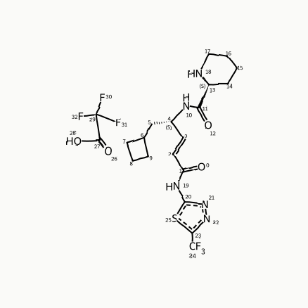 O=C(C=C[C@H](CC1CCC1)NC(=O)[C@@H]1CCCCN1)Nc1nnc(C(F)(F)F)s1.O=C(O)C(F)(F)F